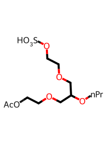 CCCOC(COCCOC(C)=O)COCCOS(=O)(=O)O